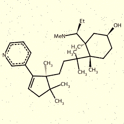 CC[C@H](NC)[C@@]1(C)C[C@@H](O)CC[C@]1(C)C(C)(C)CC[C@]1(C)C(c2cccnc2)=CCC1(C)C